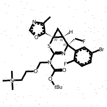 Cc1ncoc1[C@]12C[C@H]1[C@@](CF)(c1cc(Br)ccc1F)N=C(N(COCC[Si](C)(C)C)C(=O)OC(C)(C)C)S2